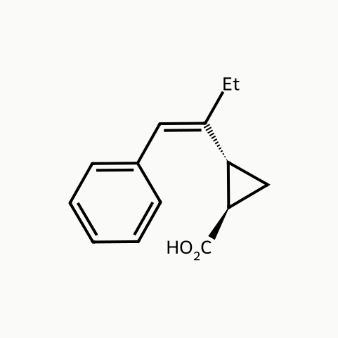 CCC(=Cc1ccccc1)[C@@H]1C[C@H]1C(=O)O